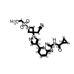 CCS(=O)(=O)N1CC(CC#N)(n2cc(-c3cccc4nc(NC(=O)C5CC5)nn34)cn2)C1